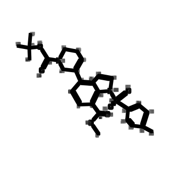 COC(=O)c1ccc(C2=CCCN(C(=O)OC(C)(C)C)C2)c2ccn(S(=O)(=O)c3ccc(C)cc3)c12